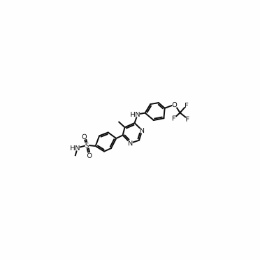 CNS(=O)(=O)c1ccc(-c2ncnc(Nc3ccc(OC(F)(F)F)cc3)c2C)cc1